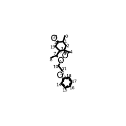 CC1CC2(CO2)C(C(C)OCCOc2ccccc2)CC1=O